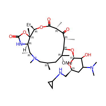 CC[C@H]1OC(=O)[C@H](C)C(=O)[C@H](C)[C@@H](O[C@@H]2O[C@H](CNC3CC3)CC(N(C)C)C2O)[C@](C)(OC)C[C@@H](C)CN(C)[C@H](C)[C@H]2NC(=O)O[C@@]21C